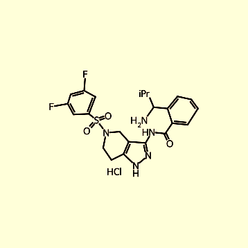 CC(C)C(N)c1ccccc1C(=O)Nc1n[nH]c2c1CN(S(=O)(=O)c1cc(F)cc(F)c1)CC2.Cl